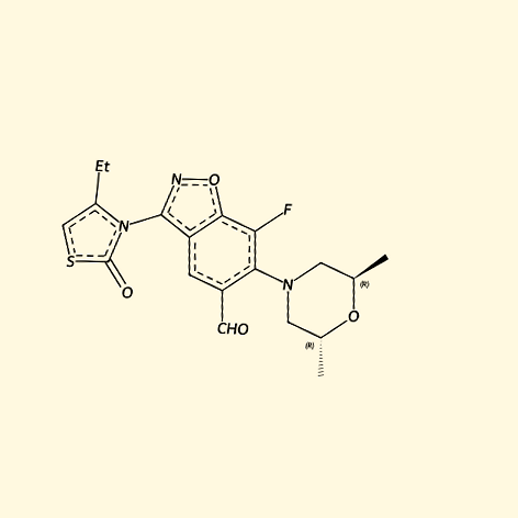 CCc1csc(=O)n1-c1noc2c(F)c(N3C[C@@H](C)O[C@H](C)C3)c(C=O)cc12